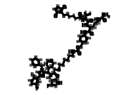 C=C(C)[C@H](NC(=O)CCCCCN1C(=O)C=CC1=O)C(=O)N[C@@H](CCCNC(N)=O)C(=O)Nc1ccc(COC(=O)NCCCCCCSCC(=O)N(C[C@@H]2CNC[C@@H]2F)[C@@H](c2nc(-c3cc(F)ccc3F)cn2Cc2ccccc2)C2CCOCC2)cc1